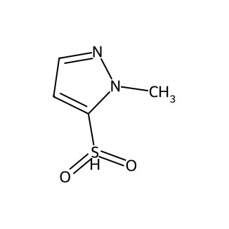 Cn1nccc1[SH](=O)=O